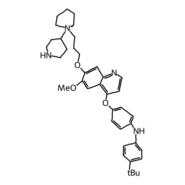 COc1cc2c(Oc3ccc(Nc4ccc(C(C)(C)C)cc4)cc3)ccnc2cc1OCCC[N+]1(C2CCNCC2)CCCCC1